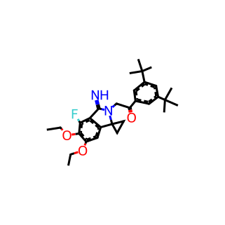 CCOc1cc2c(c(F)c1OCC)C(=N)N(CC(=O)c1cc(C(C)(C)C)cc(C(C)(C)C)c1)C21CC1